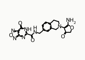 NC1=C(N2CCc3ccc(CNC(=O)c4nc5nonc5c(=O)[nH]4)cc3C2)C(=O)CO1